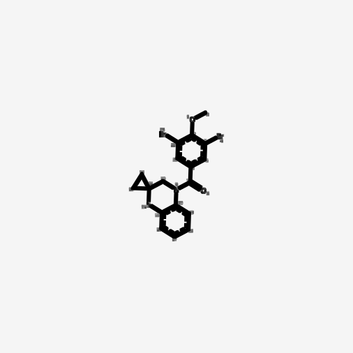 COc1c(Br)cc(C(=O)N2CC3(CC3)Sc3ccccc32)cc1Br